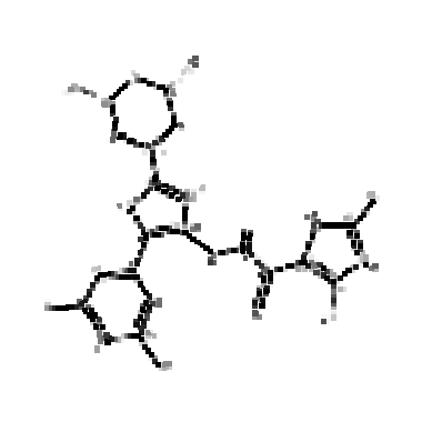 Cc1cc(-c2sc(N3C[C@@H](C)O[C@@H](C)C3)nc2CNC(=O)c2oc(C)nc2C)cc(C)n1